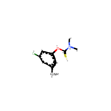 COc1cc(Cl)cc(OC(=S)N(C)C)c1